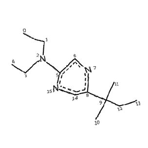 CCN(CC)c1cnc(C(C)(C)CC)cn1